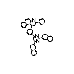 c1ccc(-c2cc(-c3cccc(-c4cc(-c5ccc6ccccc6c5)nc(-c5ccc6ccccc6c5)n4)c3)c3c(ccc4ccccc43)n2)cc1